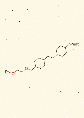 CCCCCC1CCC(CCC2CCC(COCCOCC)CC2)CC1